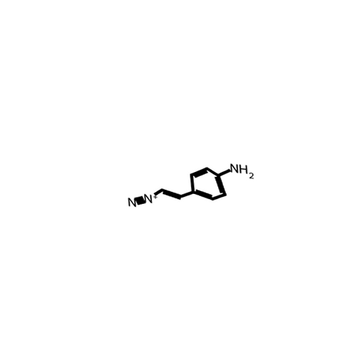 N#[N+]C=Cc1ccc(N)cc1